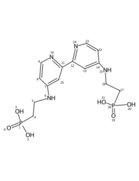 O=P(O)(O)CCNc1ccnc(-c2cc(NCCP(=O)(O)O)ccn2)c1